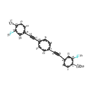 CCCCc1ccc(C#Cc2ccc(C#Cc3ccc(CC)c(F)c3)cc2)cc1F